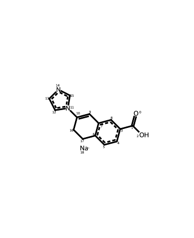 O=C(O)c1ccc2c(c1)C=C(n1ccnc1)CC2.[Na]